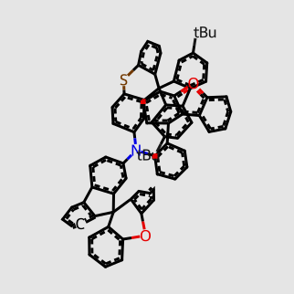 CC(C)(C)c1ccc2c(c1)C1(c3ccccc3Sc3ccc(N(c4ccc5c(c4)C4(c6ccccc6Oc6ccccc64)c4ccccc4-5)c4ccccc4-c4cccc5oc6ccccc6c45)cc31)c1cc(C(C)(C)C)ccc1-2